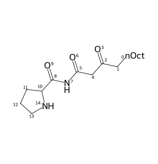 CCCCCCCCCC(=O)CC(=O)NC(=O)C1CCCN1